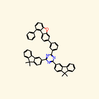 CC1(C)c2ccccc2-c2cc(-c3nc(-c4cccc(-c5ccc6c(c5)oc5cccc(-c7ccccc7)c56)c4)nc(-c4ccc5c(c4)-c4ccccc4C5(C)C)n3)ccc21